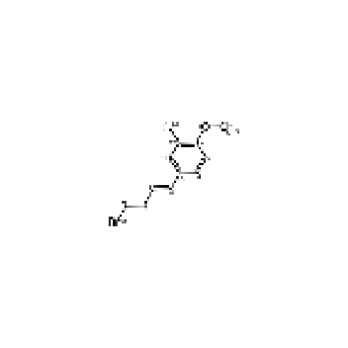 COc1ccc(C=CCCBr)cc1Cl